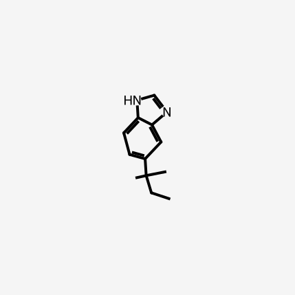 CCC(C)(C)c1ccc2[nH]cnc2c1